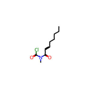 CCCCC/C=C/C(=O)N(C)C(=O)Cl